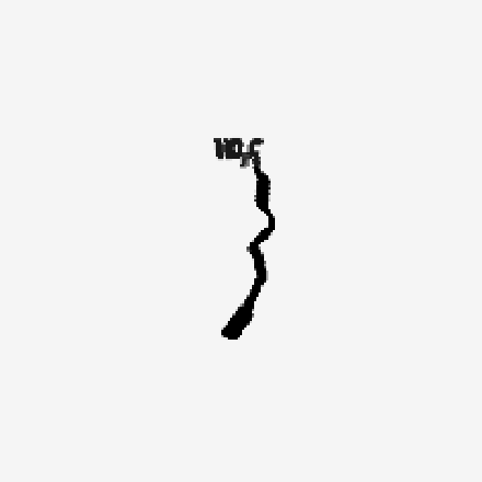 C#CCCCC=CC(=O)O